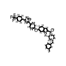 Cc1cccc(CN2CCN(C(=O)c3cc4ccc(Oc5cnc(-c6nc(-c7ccc(C(F)(F)F)cc7)no6)cn5)cc4n3C)CC2)c1